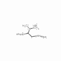 Br.CCCCCCCCC(CCCCC)N(C)C